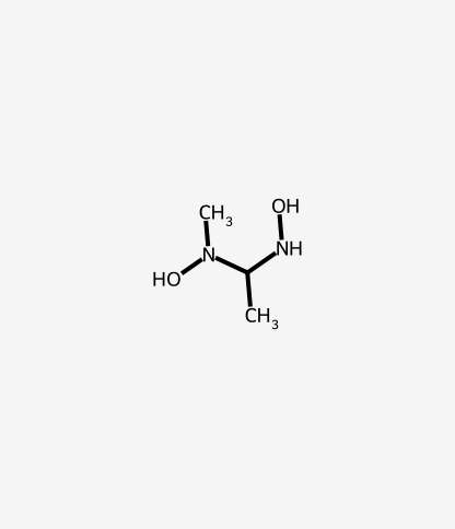 CC(NO)N(C)O